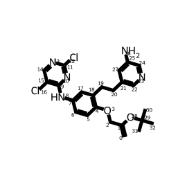 C=C(COc1ccc(Nc2nc(Cl)ncc2Cl)cc1CCc1cncc(N)c1)OC(C)(C)C